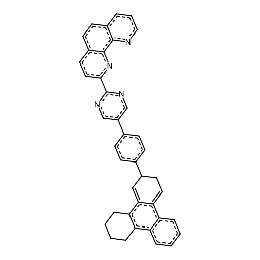 C1=c2c3c(c4ccccc4c2=CCC1c1ccc(-c2cnc(-c4ccc5ccc6cccnc6c5n4)nc2)cc1)CCCC3